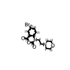 O=c1oc(=O)n(CCN2CCOCC2)c2ccc(Br)cc12